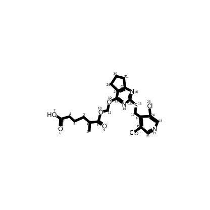 CC(CCCC(=O)O)C(=O)OCOc1nc(SCc2c(Cl)cncc2Cl)nc2c1CCC2